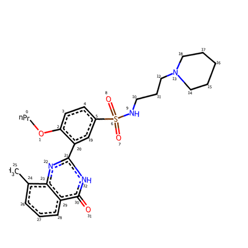 CCCOc1ccc(S(=O)(=O)NCCCN2CCCCC2)cc1-c1nc2c(C)cccc2c(=O)[nH]1